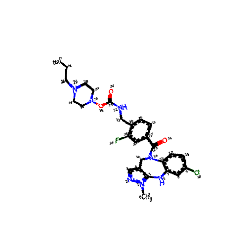 Cn1ncc2c1Nc1cc(Cl)ccc1N(C(=O)c1ccc(CNC(=O)ON3CCN(CCC(C)(C)C)CC3)c(F)c1)C2